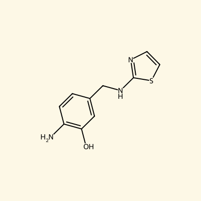 Nc1ccc(CNc2nccs2)cc1O